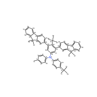 Cc1ccc(N(c2ccc(C(C)(C)C)cc2)c2cc(-c3ccc4c(c3)C(C)(C)c3ccccc3-4)c(C(C)(C)C)c(-c3ccc4c(c3)C(C)(C)c3ccccc3-4)c2)cc1